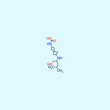 CC(C)CC(CO)NC1CC2(CC(NC(=O)O)C2)C1